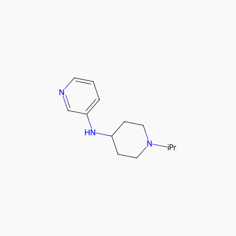 CC(C)N1CCC(Nc2cccnc2)CC1